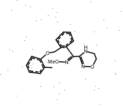 CON=C(C1=NOCCN1)c1ccccc1COc1ccccc1C